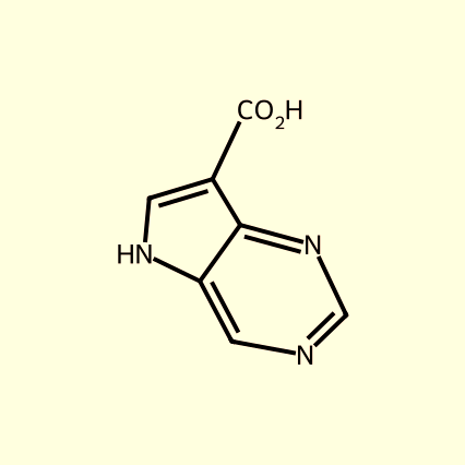 O=C(O)c1c[nH]c2cncnc12